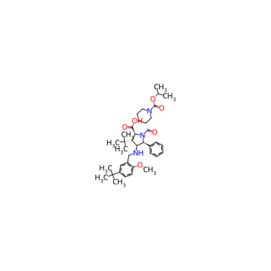 COc1ccc(C(C)(C)C)cc1CN[C@H]1[C@H](C(C)(C)C)[C@@H](C(=O)O)N(C(=O)[C@@H]2CCCN(C(=O)OC(C)C)C2)[C@H]1c1ccccc1